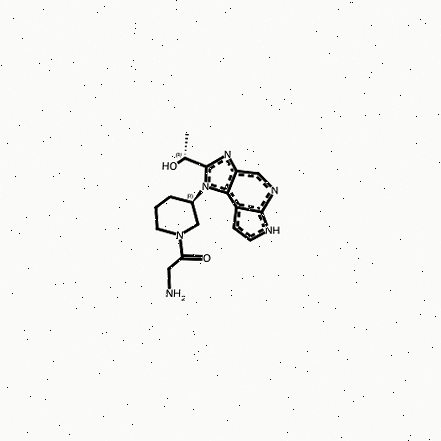 C[C@@H](O)c1nc2cnc3[nH]ccc3c2n1[C@@H]1CCCN(C(=O)CN)C1